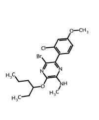 CCCC(CC)Oc1nc(Br)c(-c2ccc(OC)cc2Cl)nc1NC